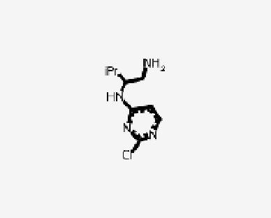 CC(C)C(CN)Nc1ccnc(Cl)n1